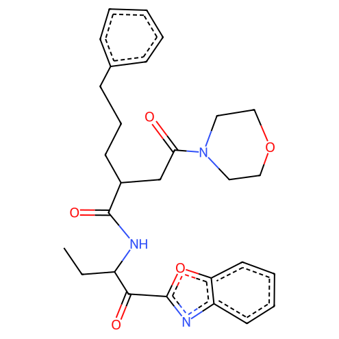 CCC(NC(=O)C(CCCc1ccccc1)CC(=O)N1CCOCC1)C(=O)c1nc2ccccc2o1